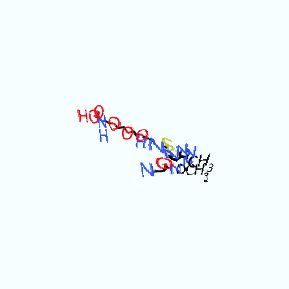 C[C@@H]1CCN(C(=O)CC#N)C[C@@H]1N(C)c1ncnc2c1ccn2C(=S)NCCOCCOCCOCCNC(=O)O